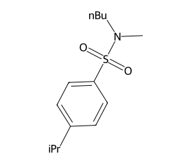 CCCCN(C)S(=O)(=O)c1ccc(C(C)C)cc1